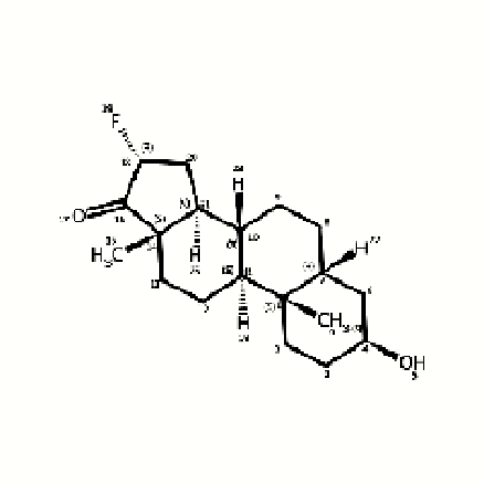 C[C@]12CC[C@H](O)C[C@H]1CC[C@@H]1[C@@H]2CC[C@]2(C)C(=O)[C@H](F)C[C@@H]12